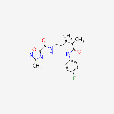 C=C(CCNC(=O)c1nc(C)no1)C(C)C(=O)Nc1ccc(F)cc1